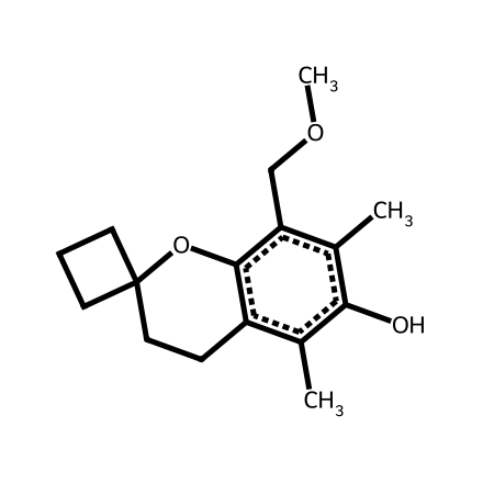 COCc1c(C)c(O)c(C)c2c1OC1(CCC1)CC2